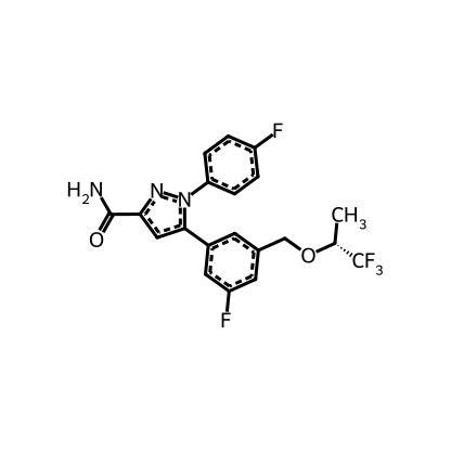 C[C@@H](OCc1cc(F)cc(-c2cc(C(N)=O)nn2-c2ccc(F)cc2)c1)C(F)(F)F